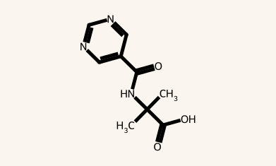 CC(C)(NC(=O)c1cncnc1)C(=O)O